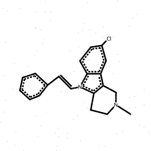 CN1CCc2c(c3cc(Cl)ccc3n2/C=C/c2ccccc2)C1